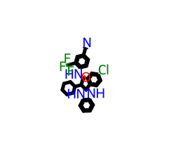 N#Cc1ccc(NC(=O)C(C2CCCCC2)C2(c3ccc(Cl)cc3)Nc3ccccc3N2)c(C(F)(F)F)c1